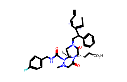 C=C/C=C\C(=C/C)C(CN1C[C@H]2N(C(=O)CN(C)N2C(=O)NCc2ccc(F)cc2)[C@@H](CCC(=O)O)C1=O)c1ccccc1